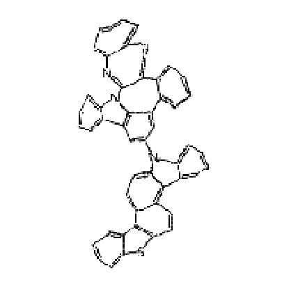 c1ccc2c(c1)-c1nc3ccccc3nc1-n1c3ccccc3c3cc(-n4c5ccccc5c5c6ccc7sc8ccccc8c7c6ccc54)cc-2c31